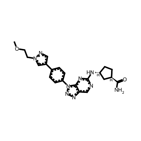 COCCn1cc(-c2ccc(-n3nnc4cnc(N[C@@H]5CC[C@@H](C(N)=O)C5)nc43)cc2)cn1